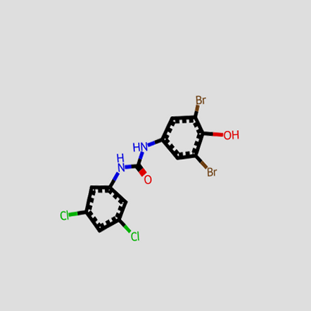 O=C(Nc1cc(Cl)cc(Cl)c1)Nc1cc(Br)c(O)c(Br)c1